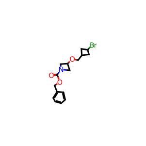 O=C(OCc1ccccc1)N1CC(OCC2CC(Br)C2)C1